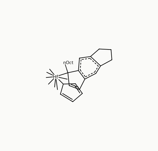 CCCCCCCC[C]1([Hf]([CH3])([CH3])([CH3])([CH3])([CH3])([CH3])([CH3])[CH]2C=CC=C2)C=Cc2cc3c(cc21)CCC3